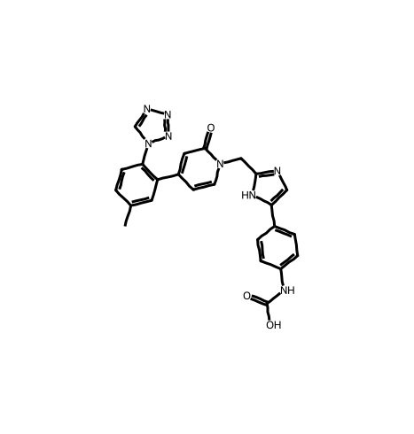 Cc1ccc(-n2cnnn2)c(-c2ccn(Cc3ncc(-c4ccc(NC(=O)O)cc4)[nH]3)c(=O)c2)c1